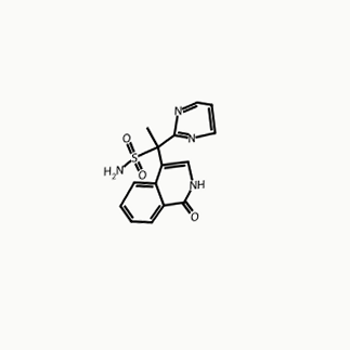 CC(c1ncccn1)(c1c[nH]c(=O)c2ccccc12)S(N)(=O)=O